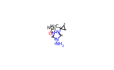 CC1([n+]2cn(N)cn2)CC1.O=[N+]([O-])[O-]